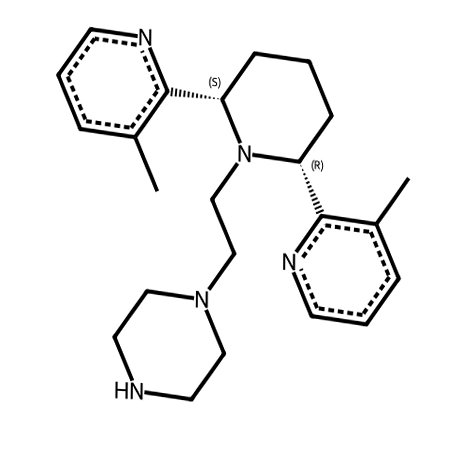 Cc1cccnc1[C@H]1CCC[C@@H](c2ncccc2C)N1CCN1CCNCC1